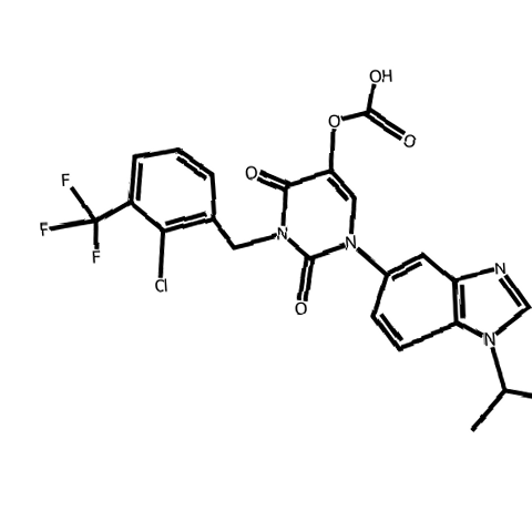 CC(C)n1cnc2cc(-n3cc(OC(=O)O)c(=O)n(Cc4cccc(C(F)(F)F)c4Cl)c3=O)ccc21